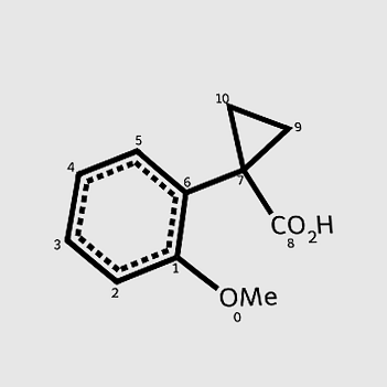 COc1ccccc1C1(C(=O)O)CC1